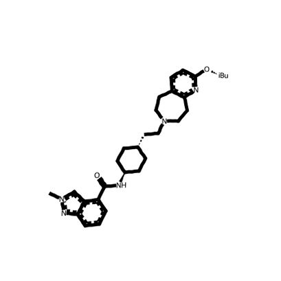 CC[C@@H](C)Oc1ccc2c(n1)CCN(CC[C@H]1CC[C@H](NC(=O)c3cccc4nn(C)cc34)CC1)CC2